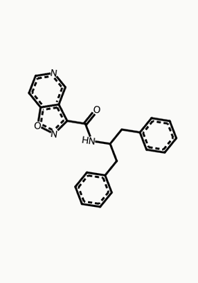 O=C(NC(Cc1ccccc1)Cc1ccccc1)c1noc2ccncc12